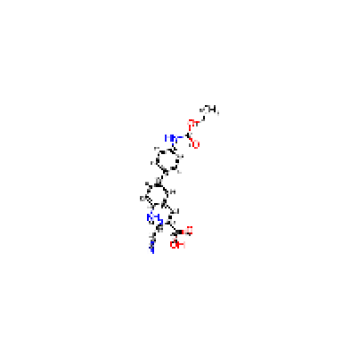 CCOC(=O)Nc1ccc(-c2ccc(N)c(/C=C(\CC#N)C(=O)O)c2)cc1